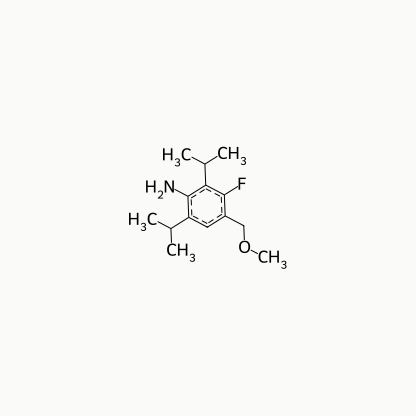 COCc1cc(C(C)C)c(N)c(C(C)C)c1F